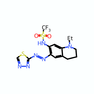 CCN1CCCc2cc(N=Nc3nncs3)c(NS(=O)(=O)C(F)(F)F)cc21